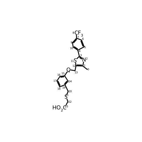 Cc1nc(-c2ccc(C(F)(F)F)cc2)sc1COc1cccc(CSCC(=O)O)c1